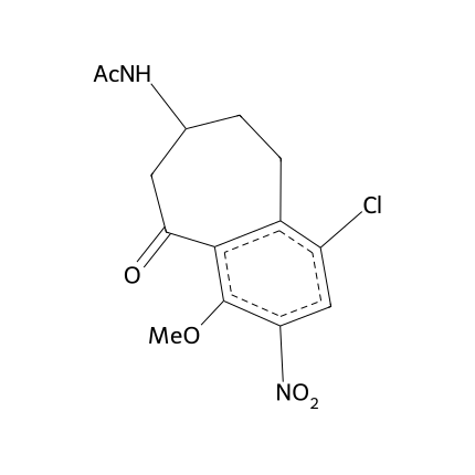 COc1c([N+](=O)[O-])cc(Cl)c2c1C(=O)CC(NC(C)=O)CC2